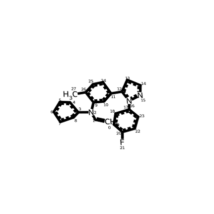 C=CN(c1ccccc1)c1cc(-c2ccnn2-c2ccc(F)cc2)ccc1C